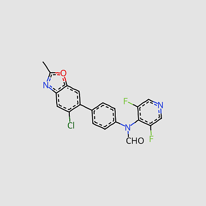 Cc1nc2cc(Cl)c(-c3ccc(N(C=O)c4c(F)cncc4F)cc3)cc2o1